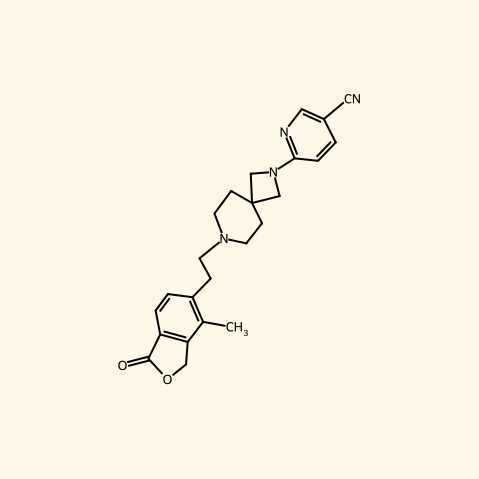 Cc1c(CCN2CCC3(CC2)CN(c2ccc(C#N)cn2)C3)ccc2c1COC2=O